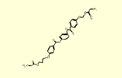 C=CC(=O)OCCCOc1ccc(C(=O)Oc2ccc(OC(=O)c3ccc(OCOC(=O)C=C)cc3)cc2)cc1